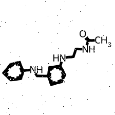 CC(=O)NCCNc1c[c]cc(CNc2ccccc2)c1